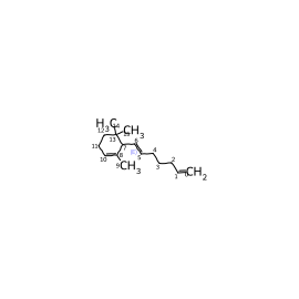 C=CCCC/C=C/C1C(C)=CCCC1(C)C